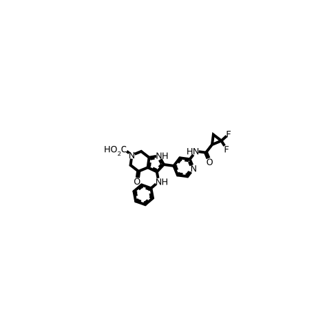 O=C1CN(C(=O)O)Cc2[nH]c(-c3ccnc(NC(=O)C4CC4(F)F)c3)c(Nc3ccccc3)c21